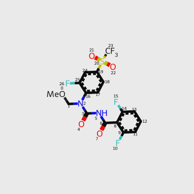 COCN(C(=O)NC(=O)c1c(F)cccc1F)c1ccc(S(=O)(=O)C(F)(F)F)cc1F